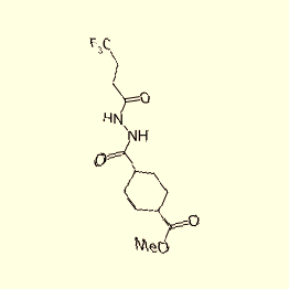 COC(=O)C1CCC(C(=O)NNC(=O)CCC(F)(F)F)CC1